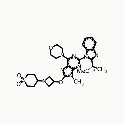 CO[C@@H](C)c1nc2ccccc2n1-c1nc(N2CCOCC2)c2nc(OC3CN(C4CCS(=O)(=O)CC4)C3)n(C)c2n1